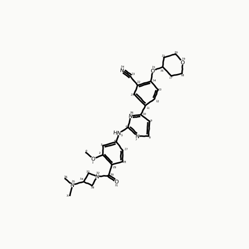 COc1cc(Nc2nccc(-c3ccc(OC4CCOCC4)c(C#N)c3)n2)ccc1C(=O)N1CC(N(C)C)C1